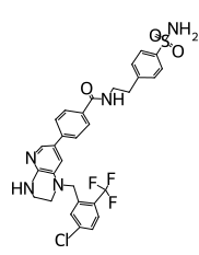 NS(=O)(=O)c1ccc(CCNC(=O)c2ccc(-c3cnc4c(c3)N(Cc3cc(Cl)ccc3C(F)(F)F)CCN4)cc2)cc1